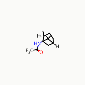 C[C@H]1CC[C@@H]2C[C@@]1(NC(=O)C(F)(F)F)C2(C)C